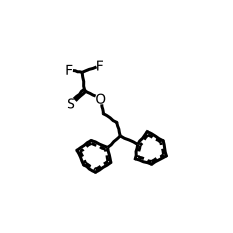 FC(F)C(=S)OCCC(c1ccccc1)c1ccccc1